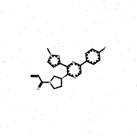 C=CC(=O)N1CC[C@H](c2ncc(-c3ccc(F)cc3)nc2-c2ccn(C)n2)C1